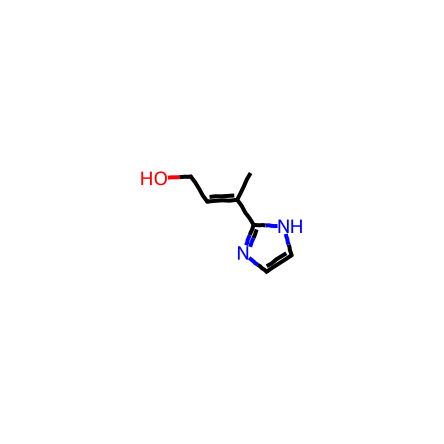 CC(=CCO)c1ncc[nH]1